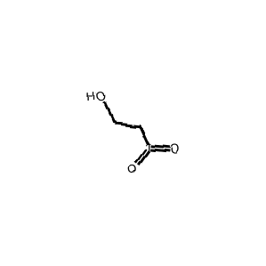 O=I(=O)CCO